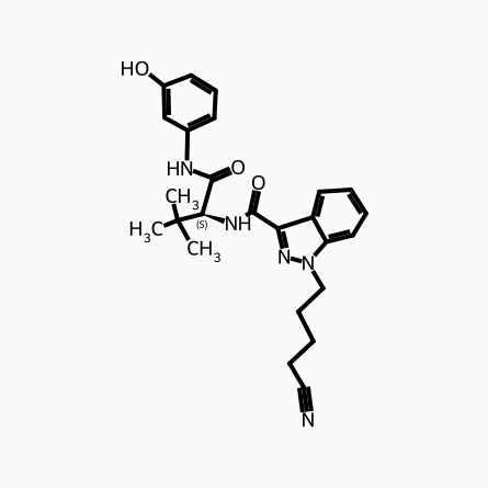 CC(C)(C)[C@H](NC(=O)c1nn(CCCCC#N)c2ccccc12)C(=O)Nc1cccc(O)c1